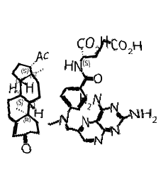 CC(=O)[C@H]1CC[C@H]2[C@@H]3CCC4=CC(=O)CC[C@]4(C)[C@H]3CC[C@]12C.CN(Cc1cnc2nc(N)nc(N)c2n1)c1ccc(C(=O)N[C@@H](CCC(=O)O)C(=O)O)cc1